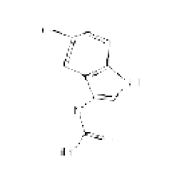 CC(C)C(=O)Nc1c[nH]c2ccc(Cl)cc12